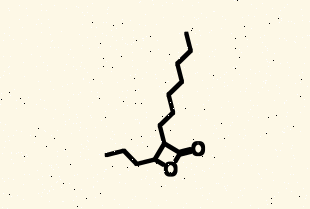 CCCCCCCC1C(=O)OC1CCC